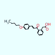 CCCCCOc1ccc(C=CC(=O)c2ccccc2CC(=O)O)cc1